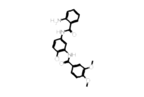 COc1ccc(C(=O)Nc2cc(NC(=O)c3ccccc3N)ccc2Cl)cc1OC